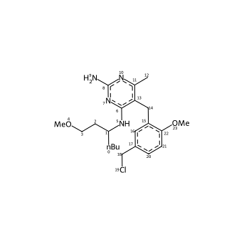 CCCCC(CCOC)Nc1nc(N)nc(C)c1Cc1cc(CCl)ccc1OC